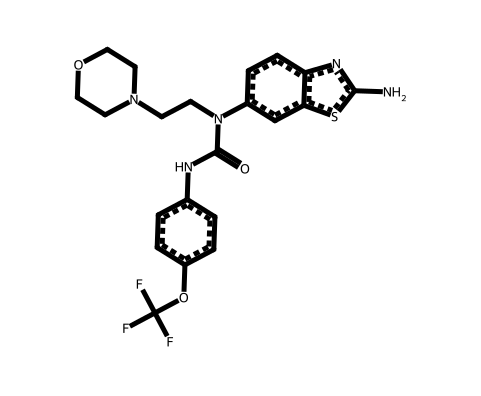 Nc1nc2ccc(N(CCN3CCOCC3)C(=O)Nc3ccc(OC(F)(F)F)cc3)cc2s1